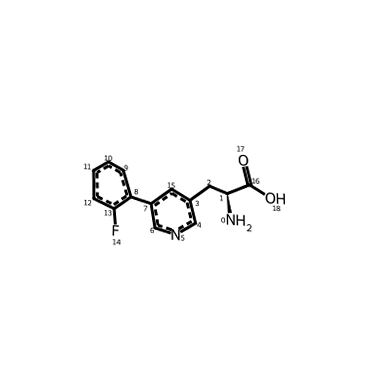 N[C@@H](Cc1cncc(-c2ccccc2F)c1)C(=O)O